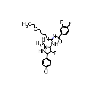 CCOCCCN/C(=N/C(=O)c1ccc(F)c(F)c1)NC1C(F)C(c2ccc(Cl)cc2)NN1C